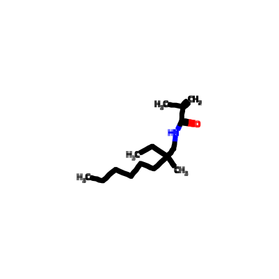 C=C(C)C(=O)NCC(C)(CC)CCCCCC